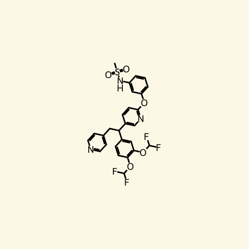 CS(=O)(=O)Nc1cccc(Oc2ccc(C(Cc3ccncc3)c3ccc(OC(F)F)c(OC(F)F)c3)cn2)c1